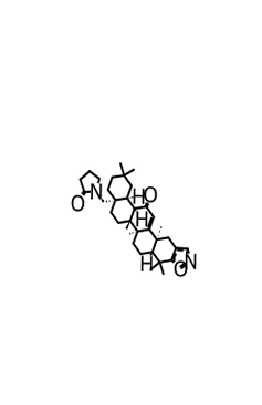 CC1(C)CC[C@]2(CN3CCCC3=O)CC[C@]3(C)[C@H](C(=O)C=C4[C@@]5(C)Cc6cnoc6C(C)(C)[C@@H]5CC[C@]43C)[C@@H]2C1